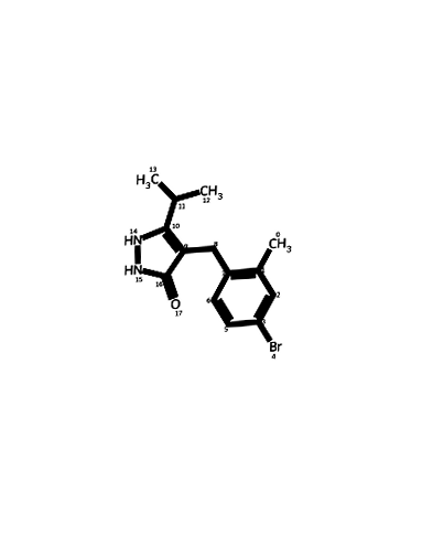 Cc1cc(Br)ccc1Cc1c(C(C)C)[nH][nH]c1=O